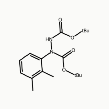 Cc1cccc(N(NC(=O)OC(C)(C)C)C(=O)OC(C)(C)C)c1C